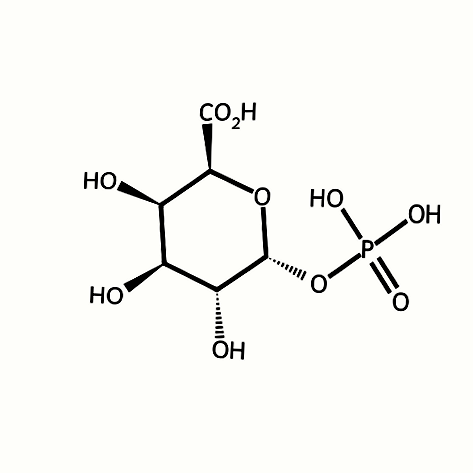 O=C(O)[C@H]1O[C@H](OP(=O)(O)O)[C@H](O)[C@@H](O)[C@H]1O